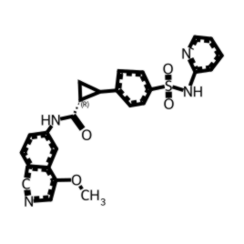 COc1cncc2ccc(NC(=O)[C@@H]3CC3c3ccc(S(=O)(=O)Nc4ccccn4)cc3)cc12